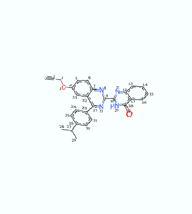 C#CCOc1ccc2nc(-c3nc4ccccc4c(=O)[nH]3)nc(-c3ccc(C(C)C)cc3)c2c1